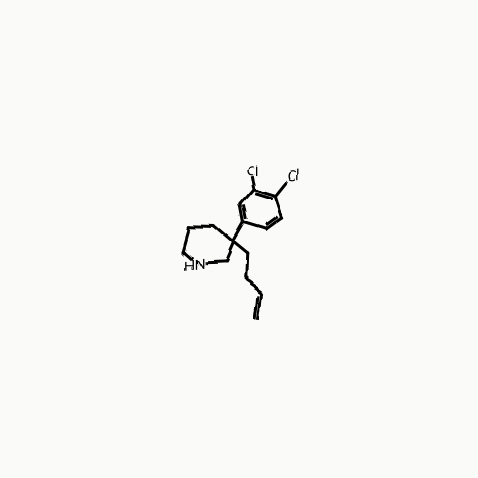 C=CCCC1(c2ccc(Cl)c(Cl)c2)CCCNC1